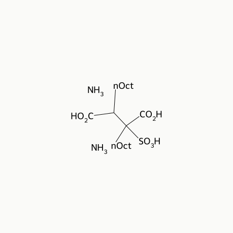 CCCCCCCCC(C(=O)O)C(CCCCCCCC)(C(=O)O)S(=O)(=O)O.N.N